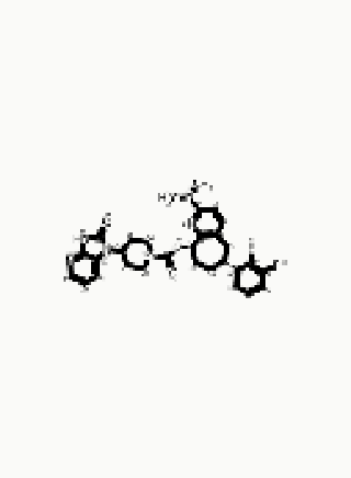 CN(C)c1ccc2c(n1)[C@H](OC(=O)N1CCC(n3c(=O)[nH]c4ncccc43)CC1)CC[C@@H](c1cccc(F)c1F)C2